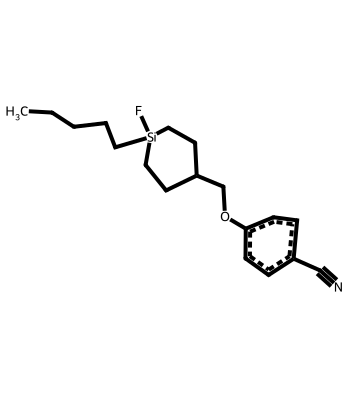 CCCCC[Si]1(F)CCC(COc2ccc(C#N)cc2)CC1